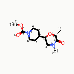 CCN1CC(C2CCN(C(=O)OC(C)(C)C)CC2)O[C@H](C)C1=O